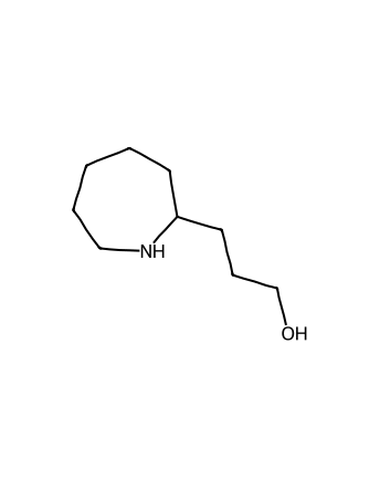 OCCCC1CCCCCN1